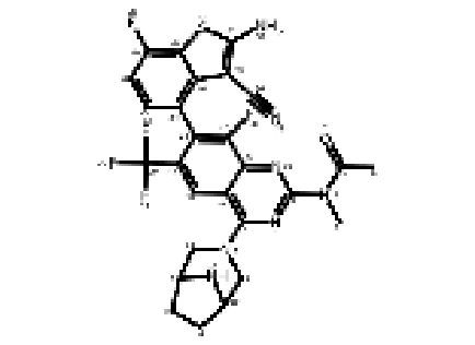 CC(=O)N(C)c1nc(N2CC3CCC(C2)N3)c2cc(C(F)(F)F)c(-c3ccc(F)c4sc(N)c(C#N)c34)c(F)c2n1